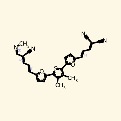 C\N=C/C(C#N)=C/C=C/c1ccc(-c2sc(-c3ccc(/C=C/C=C(C#N)C#N)o3)c(C)c2C)o1